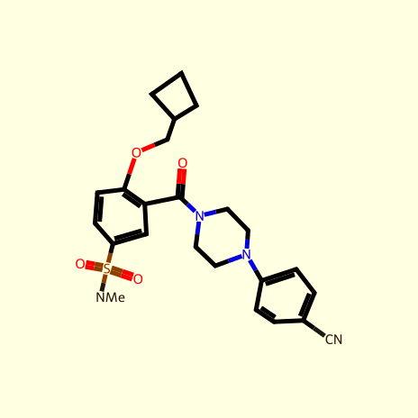 CNS(=O)(=O)c1ccc(OCC2CCC2)c(C(=O)N2CCN(c3ccc(C#N)cc3)CC2)c1